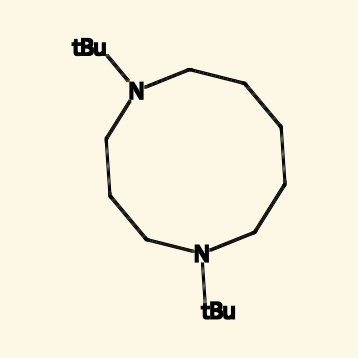 CC(C)(C)N1CCCCCN(C(C)(C)C)CCC1